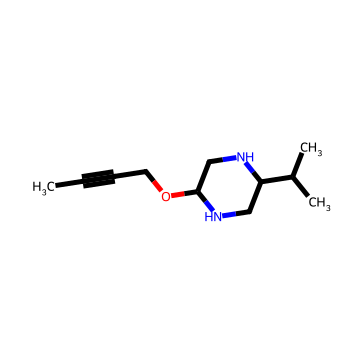 CC#CCOC1CNC(C(C)C)CN1